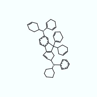 C1=CC(N(c2ccc3c(c2)C(C2=CCCC=C2)(C2CC=CCC2)C2=C3C=CC(N(c3ccccc3)C3CCCCC3)C2)C2CC=CCC2)=CCC1